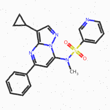 CN(c1cc(-c2ccccc2)nc2c(C3CC3)cnn12)S(=O)(=O)c1cccnc1